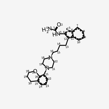 NC(=O)Nc1sc2ccccc2c1CCCCN1CCN(c2cccc3c2OCCC3)CC1